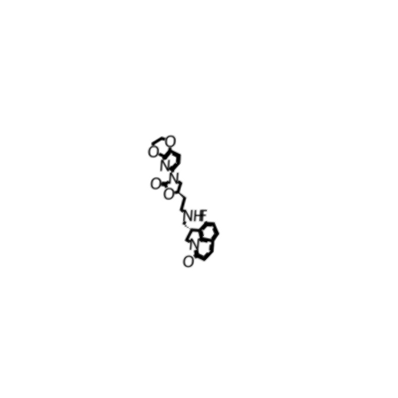 O=C1O[C@H](CCNC[C@H]2Cn3c(=O)ccc4ccc(F)c2c43)CN1c1ccc2c(n1)OCCO2